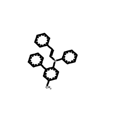 Cc1ccc(N(C=Cc2ccccc2)c2ccccc2)c(-c2ccccc2)c1